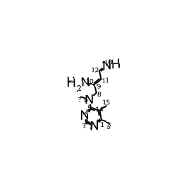 Cc1ncnc(N(C)C/C(N)=C/C=N)c1C